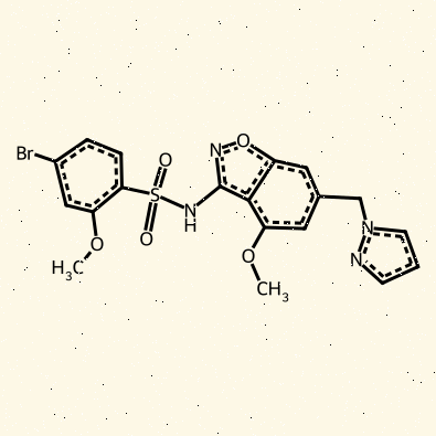 COc1cc(Br)ccc1S(=O)(=O)Nc1noc2cc(Cn3cccn3)cc(OC)c12